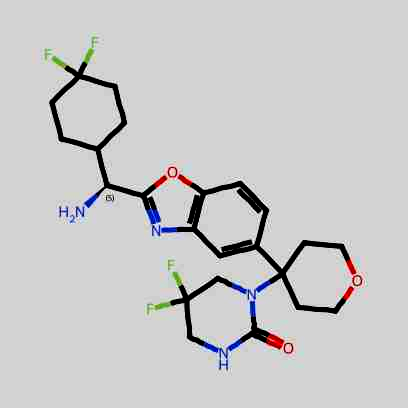 N[C@H](c1nc2cc(C3(N4CC(F)(F)CNC4=O)CCOCC3)ccc2o1)C1CCC(F)(F)CC1